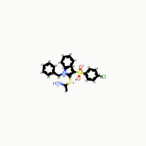 CC(N)Sc1c(S(=O)(=O)c2ccc(Cl)cc2)c2ccccc2n1Cc1ccccc1